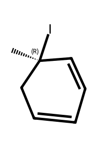 C[C@]1(I)C=CC=CC1